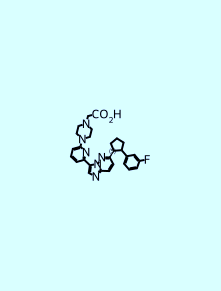 O=C(O)CN1CCN(c2cccc(-c3cnc4ccc([C@H]5CCCC5c5cccc(F)c5)nn34)n2)CC1